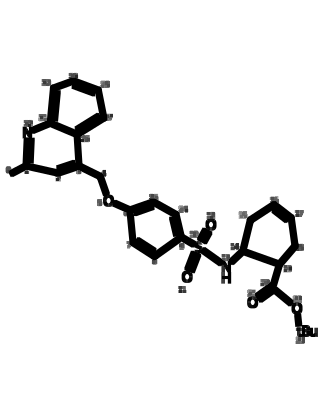 Cc1cc(COc2ccc(S(=O)(=O)NC3CC=CCC3C(=O)OC(C)(C)C)cc2)c2ccccc2n1